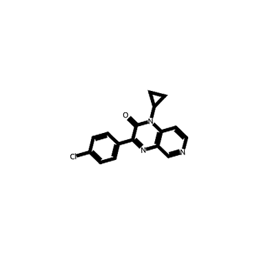 O=c1c(-c2ccc(Cl)cc2)nc2cnccc2n1C1CC1